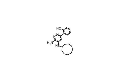 Nc1nnc(-c2ccccc2O)cc1BC1CCCCCCCC1